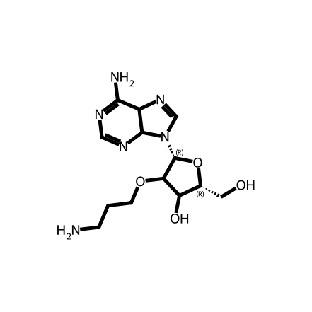 NCCCOC1C(O)[C@@H](CO)O[C@H]1N1C=NC2C(N)=NC=NC21